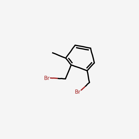 Cc1cccc(CBr)c1CBr